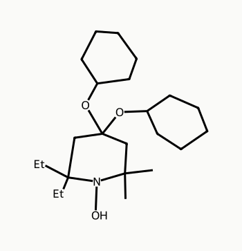 CCC1(CC)CC(OC2CCCCC2)(OC2CCCCC2)CC(C)(C)N1O